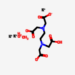 O.O.O=C([O-])CN(CCN(CC(=O)[O-])CC(=O)O)CC(=O)[O-].[K+].[K+].[K+]